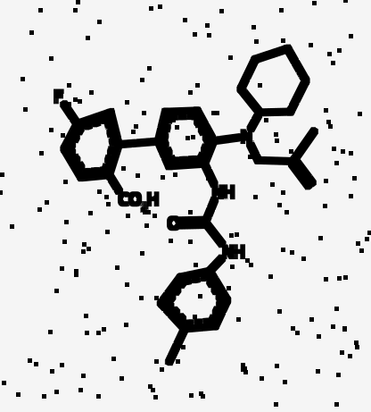 C=C(C)CN(c1ccc(-c2cc(F)ccc2C(=O)O)cc1NC(=O)Nc1ccc(C)cc1)C1CCCCC1